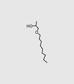 CCCCCCCCCOCC(C)O